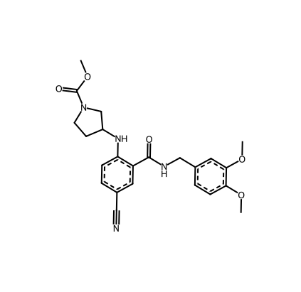 COC(=O)N1CCC(Nc2ccc(C#N)cc2C(=O)NCc2ccc(OC)c(OC)c2)C1